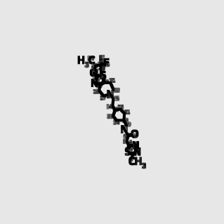 Cc1nnc(CC(=O)/N=C/C2CCC(CCN3CCc4nc(O[C@H](C)C(F)(F)F)sc4CC3)CC2)s1